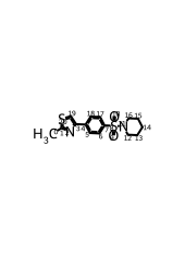 Cc1nc(-c2ccc(S(=O)(=O)N3CCCCC3)cc2)cs1